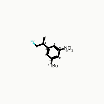 CCCCc1cc([C](C)CF)cc([N+](=O)[O-])c1